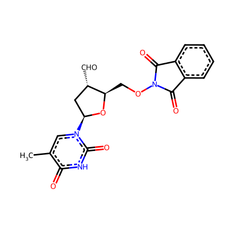 Cc1cn([C@H]2C[C@H](C=O)[C@@H](CON3C(=O)c4ccccc4C3=O)O2)c(=O)[nH]c1=O